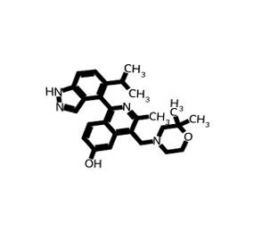 Cc1nc(-c2c(C(C)C)ccc3[nH]ncc23)c2ccc(O)cc2c1CN1CCOC(C)(C)C1